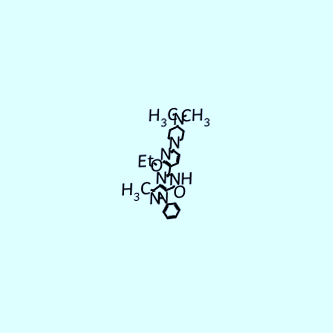 CCOc1nc(N2CCC(N(C)C)CC2)ccc1-c1nc2c(C)nn(-c3ccccc3)c2c(=O)[nH]1